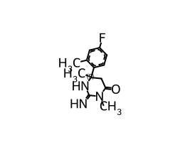 Cc1cc(F)ccc1[C@]1(C)CC(=O)N(C)C(=N)N1